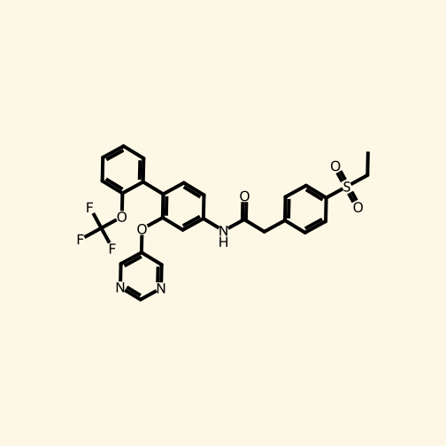 CCS(=O)(=O)c1ccc(CC(=O)Nc2ccc(-c3ccccc3OC(F)(F)F)c(Oc3cncnc3)c2)cc1